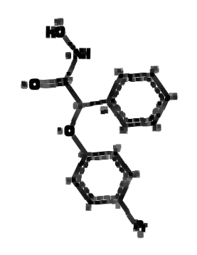 CC(C)c1ccc(OC(C(=O)NO)c2ccccc2)cc1